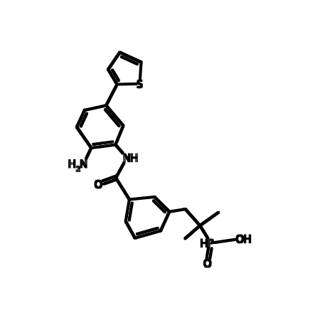 CC(C)(Cc1cccc(C(=O)Nc2cc(-c3cccs3)ccc2N)c1)[PH](=O)O